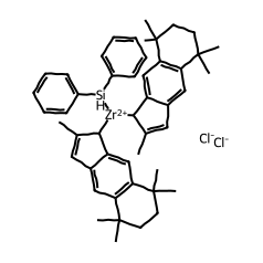 CC1=Cc2cc3c(cc2[CH]1[Zr+2]([CH]1C(C)=Cc2cc4c(cc21)C(C)(C)CCC4(C)C)[SiH](c1ccccc1)c1ccccc1)C(C)(C)CCC3(C)C.[Cl-].[Cl-]